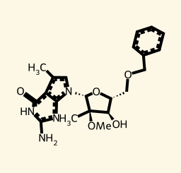 CO[C@]1(C)[C@H](O)[C@@H](COCc2ccccc2)O[C@H]1n1cc(C)c2c(=O)[nH]c(N)nc21